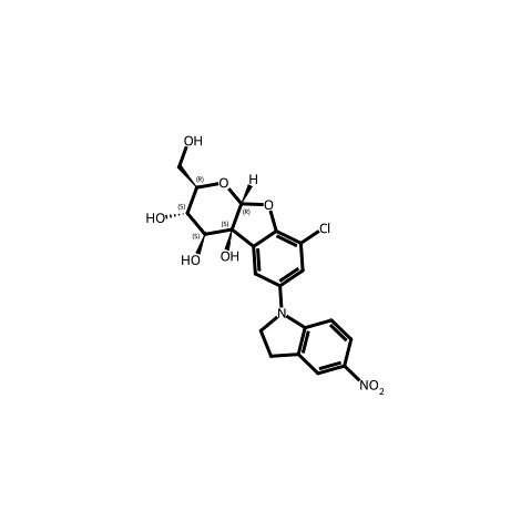 O=[N+]([O-])c1ccc2c(c1)CCN2c1cc(Cl)c2c(c1)[C@@]1(O)[C@@H](O2)O[C@H](CO)[C@@H](O)[C@@H]1O